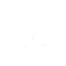 F[Si](Cc1ccccc1)(Cc1ccccc1)Cc1ccccc1